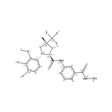 COc1c([C@@H]2C[C@](C)(C(F)(F)F)S[C@H]2C(=O)Nc2ccnc(C(=O)NO)c2)ccc(F)c1F